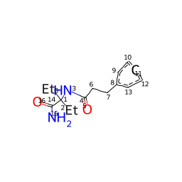 CCC(CC)(NC(=O)CCc1ccccc1)C(N)=O